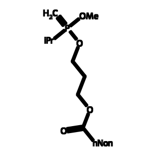 C=P(OC)(OCCCOC(=O)CCCCCCCCC)C(C)C